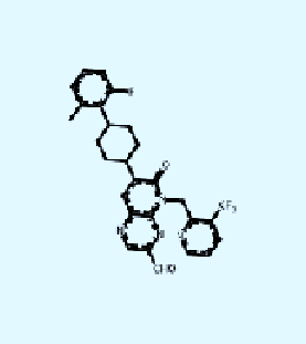 Cc1cccc(F)c1C1CCC(c2cc3ncc(C=O)nc3n(Cc3ncccc3C(F)(F)F)c2=O)CC1